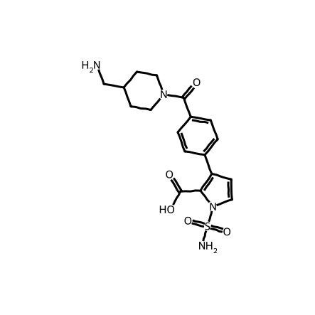 NCC1CCN(C(=O)c2ccc(-c3ccn(S(N)(=O)=O)c3C(=O)O)cc2)CC1